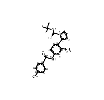 CC(C)(C)OC(=O)n1cccc1-c1ccc(NC(=O)c2ccc(Cl)cc2)nc1N